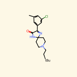 Cc1cc(Cl)cc(C2=NC3(CCN(CCC(C)(C)C)CC3)NC2=O)c1